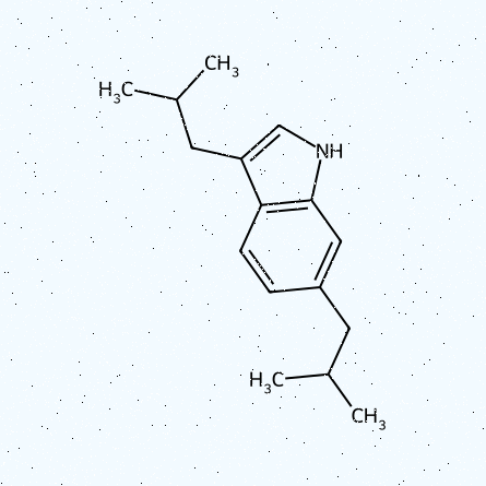 CC(C)Cc1ccc2c(CC(C)C)c[nH]c2c1